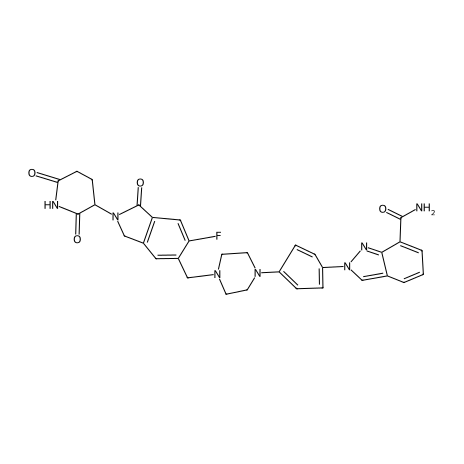 NC(=O)c1cccc2cn(-c3ccc(N4CCN(Cc5cc6c(cc5F)C(=O)N(C5CCC(=O)NC5=O)C6)CC4)cc3)nc12